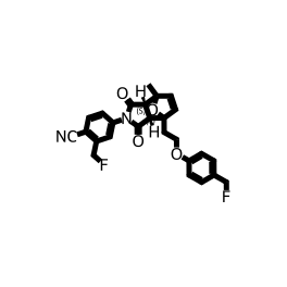 CC12C=CC(CCOc3ccc(CF)cc3)(O1)[C@@H]1C(=O)N(c3ccc(C#N)c(CF)c3)C(=O)[C@@H]12